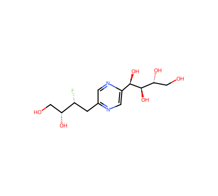 OC[C@@H](O)[C@@H](O)[C@H](O)c1cnc(C[C@@H](F)[C@H](O)CO)cn1